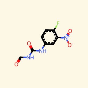 O=CNC(=O)Nc1ccc(F)c([N+](=O)[O-])c1